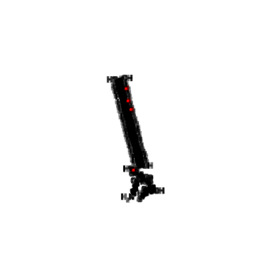 NCCCCCC(=O)N1CC(OP(=O)(O)OC[C@@H]2C[C@@H](O)CN2C(=O)CCCS)C[C@H]1COP(=O)(S)OC[C@H]1[C@@H](O)[C@@H]2[C@H]1[C@H]1[C@@H]2[C@@H]2[C@H]1[C@H]1[C@@H]2[C@@H]2[C@H]1[C@H]1[C@@H]2[C@@H]2[C@H]1[C@H]1[C@@H]2[C@@H]2[C@H]1[C@H]1[C@@H]2[C@@H]2[C@H]1[C@@H]1[C@@H]3[C@@H]4[C@@H]5[C@@H]6[C@@H]7[C@@H]8[C@@H]9[C@@H]%10[C@@H]%11[C@@H]%12C%13[C@H]([C@@H]%14[C@H]%13[C@@H]%13[C@@H]%15[C@@H]%16[C@@H]%17[C@H](O)[C@H](CO)[C@@H]%17[C@@H]%16[C@@H]%15[C@H]%14%13)[C@@H]%12[C@@H]%11[C@@H]%10[C@@H]9[C@@H]8[C@@H]7[C@@H]6[C@@H]5[C@@H]4[C@@H]3[C@@H]12